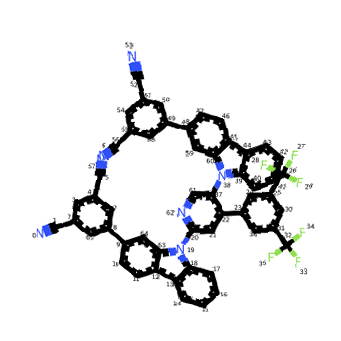 N#Cc1cc(C#N)cc(-c2ccc3c4ccccc4n(-c4cc(-c5cc(C(F)(F)F)cc(C(F)(F)F)c5)c(-n5c6ccccc6c6ccc(-c7cc(C#N)cc(C#N)c7)cc65)cn4)c3c2)c1